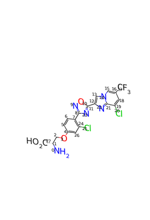 N[C@@H](COc1ccc(-c2noc(-c3cn4cc(C(F)(F)F)cc(Cl)c4n3)n2)c(Cl)c1)C(=O)O